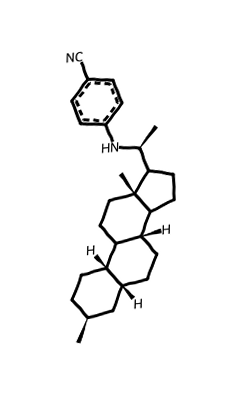 C[C@H]1CC[C@@H]2C3CC[C@@]4(C)C(CCC4[C@H](C)Nc4ccc(C#N)cc4)[C@@H]3CC[C@@H]2C1